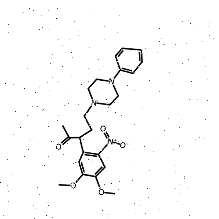 COc1cc(C(CCN2CCN(c3ccccc3)CC2)C(C)=O)c([N+](=O)[O-])cc1OC